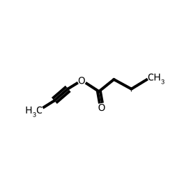 CC#COC(=O)C[CH]C